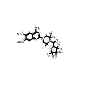 [2H]C1([2H])CN(c2nc(N)c3cc(OC)c(OC)cc3n2)CC([2H])([2H])N1C(=O)C1OC([2H])([2H])C([2H])([2H])C1([2H])[2H]